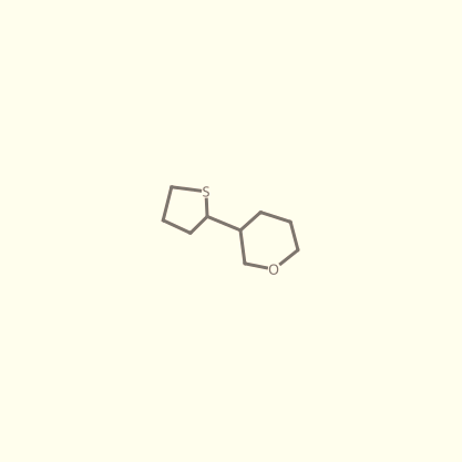 C1COCC(C2CCCS2)C1